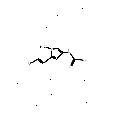 C/C=C/c1cc(NC(=O)CCCC)cn1C